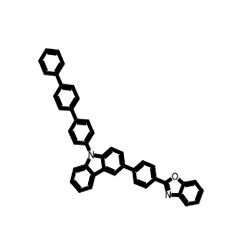 c1ccc(-c2ccc(-c3ccc(-n4c5ccccc5c5cc(-c6ccc(-c7nc8ccccc8o7)cc6)ccc54)cc3)cc2)cc1